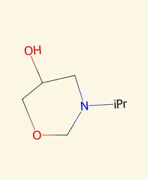 CC(C)N1COCC(O)C1